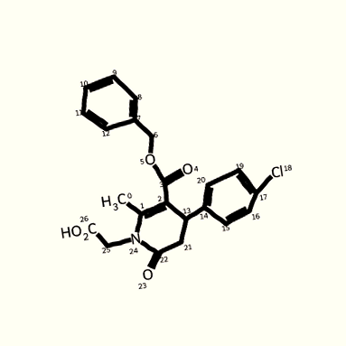 CC1=C(C(=O)OCc2ccccc2)C(c2ccc(Cl)cc2)CC(=O)N1CC(=O)O